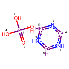 O=P(O)(O)O.n1p[nH][pH][nH][pH]1